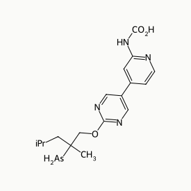 CC(C)CC(C)([AsH2])COc1ncc(-c2ccnc(NC(=O)O)c2)cn1